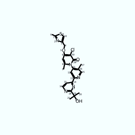 Cc1nc(COc2cc(C)n(-c3cc(-c4ccnc(C(C)(C)O)n4)ncc3C)c(=O)c2Cl)cs1